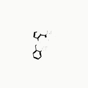 NC(=O)c1sccc1OCc1ccccc1C(F)(F)F